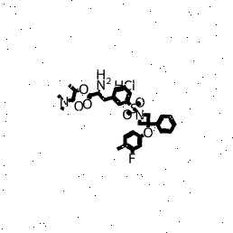 Cc1ccc(OC2(c3ccccc3)CN(S(=O)(=O)c3cccc(C[C@H](N)C(=O)OC(C)C(=O)N(C)C)c3)C2)cc1F.Cl